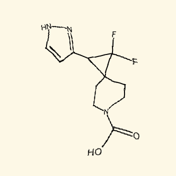 O=C(O)N1CCC2(CC1)C(c1cc[nH]n1)C2(F)F